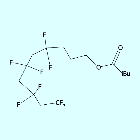 CCC(C)C(=O)OCCCC(F)(F)CC(F)(F)CC(F)(F)CC(F)(F)F